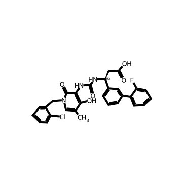 Cc1cn(Cc2ccccc2Cl)c(=O)c(NC(=O)N[C@@H](CC(=O)O)c2cccc(-c3ccccc3F)c2)c1O